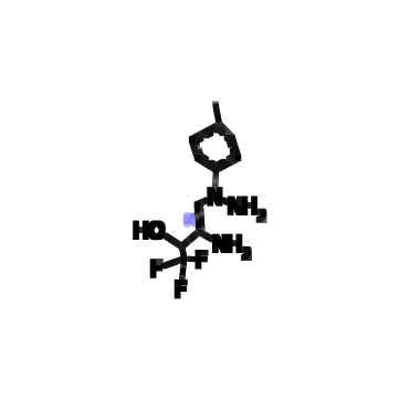 Cc1ccc(N(N)/C=C(\N)C(O)C(F)(F)F)cc1